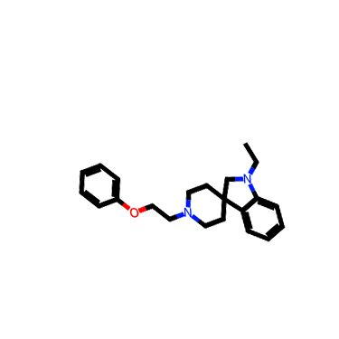 CCN1CC2(CCN(CCOc3ccccc3)CC2)c2ccccc21